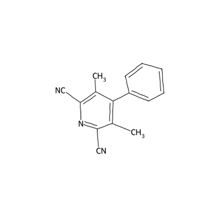 Cc1c(C#N)nc(C#N)c(C)c1-c1ccccc1